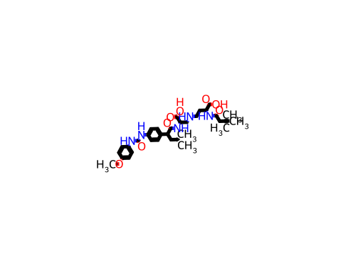 COc1ccc(NC(=O)Nc2ccc(C(CC(C)C)C(=O)NC(CNCCC(NC(=O)CC(C)(C)C)C(=O)O)C(=O)O)cc2)cc1